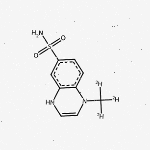 [2H]C([2H])([2H])N1C=CNc2cc(S(N)(=O)=O)ccc21